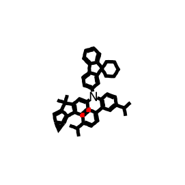 CC(C)c1ccc(-c2cc(C(C)C)ccc2N(c2ccc3c(c2)C(C)(C)c2cc4cc-4c2-3)c2ccc3c(c2)C2(CCCCC2)c2ccccc2-3)cc1